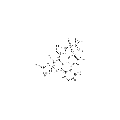 CC[C@@H](CNS(=O)(=O)C1(C)CC1)N1C(=O)[C@@](C)(CC(=O)O)C[C@H](c2cccc(Cl)c2)[C@H]1c1ccc(Cl)cc1